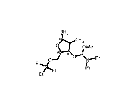 B[C@@H]1O[C@H](CO[Si](CC)(CC)CC)[C@H](OP(OC)N(C(C)C)C(C)C)C1C